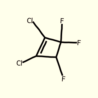 FC1C(Cl)=C(Cl)C1(F)F